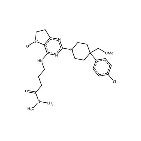 COCC1(c2ccc(Cl)cc2)CCN(c2nc3c(c(NCCCC(=O)N(C)C)n2)[S+]([O-])CC3)CC1